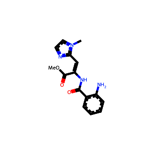 COC(=O)C(=Cc1nccn1C)NC(=O)c1ccccc1N